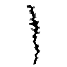 C#CCCCCCCCCCCCCCCCCCO